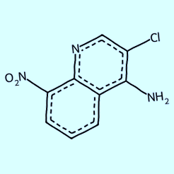 Nc1c(Cl)cnc2c([N+](=O)[O-])cccc12